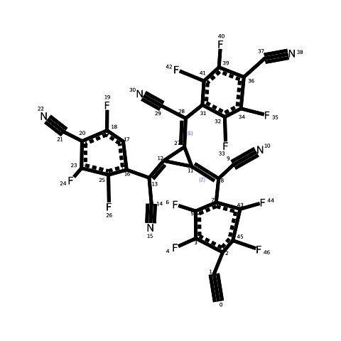 C#Cc1c(F)c(F)c(/C(C#N)=C2\C(=C(C#N)c3cc(F)c(C#N)c(F)c3F)\C2=C(/C#N)c2c(F)c(F)c(C#N)c(F)c2F)c(F)c1F